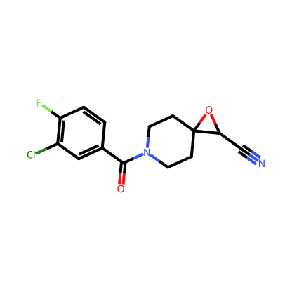 N#CC1OC12CCN(C(=O)c1ccc(F)c(Cl)c1)CC2